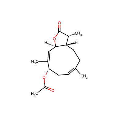 CC(=O)O[C@H]1C/C=C(/C)CC[C@@H]2[C@@H](/C=C\1C)OC(=O)[C@@H]2C